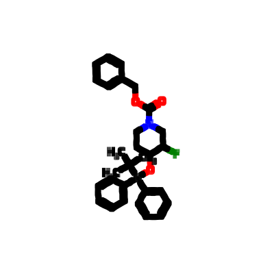 CC(C)(C)[Si](OC1CCN(C(=O)OCc2ccccc2)CC1F)(c1ccccc1)c1ccccc1